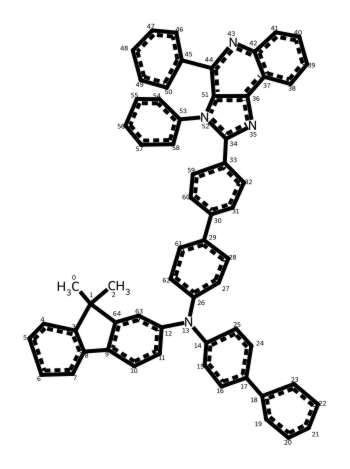 CC1(C)c2ccccc2-c2ccc(N(c3ccc(-c4ccccc4)cc3)c3ccc(-c4ccc(-c5nc6c7ccccc7nc(-c7ccccc7)c6n5-c5ccccc5)cc4)cc3)cc21